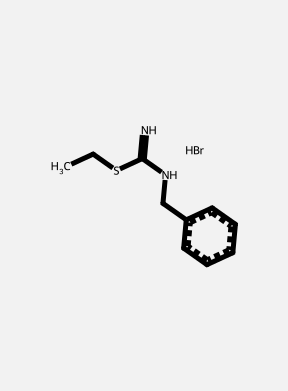 Br.CCSC(=N)NCc1ccccc1